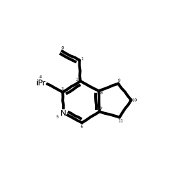 C=Cc1c(C(C)C)ncc2c1CCC2